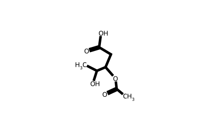 CC(=O)OC(CC(=O)O)C(C)O